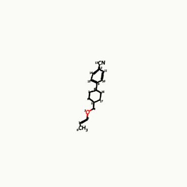 C/C=C/OCC1CCC(c2ccc(C#N)cc2)CC1